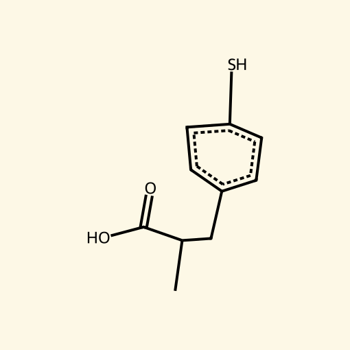 CC(Cc1ccc(S)cc1)C(=O)O